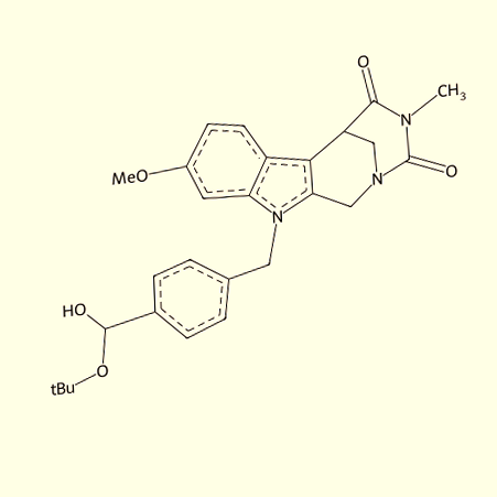 COc1ccc2c3c(n(Cc4ccc(C(O)OC(C)(C)C)cc4)c2c1)CN1CC3C(=O)N(C)C1=O